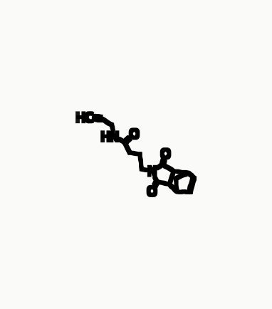 C#CCNC(=O)CCCN1C(=O)C2C3C=CC(C3)C2C1=O